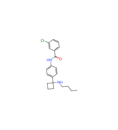 CCCCNC1(c2ccc(NC(=O)c3cccc(Cl)c3)cc2)CCC1